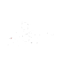 CNC(=O)CN1CCC2(S(=O)(=O)c3ccc(F)cc3)c3ccc(C(F)(C(F)(F)F)C(F)(F)F)cc3OCC12